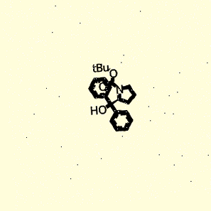 CC(C)(C)OC(=O)N1CCC[C@H]1C(O)(c1ccccc1)c1ccccc1